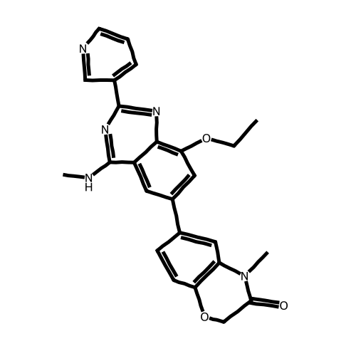 CCOc1cc(-c2ccc3c(c2)N(C)C(=O)CO3)cc2c(NC)nc(-c3cccnc3)nc12